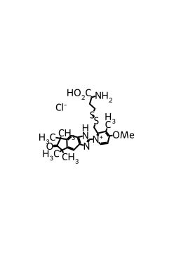 COc1cc[n+](-c2nc3cc4c(cc3[nH]2)C(C)(C)C(=O)C4(C)C)c(CSSCCC(N)C(=O)O)c1C.[Cl-]